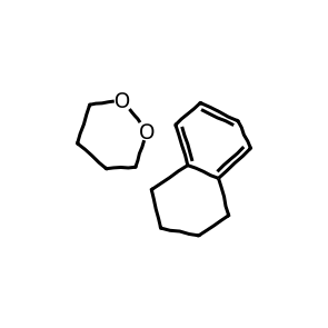 C1CCOOC1.c1ccc2c(c1)CCCC2